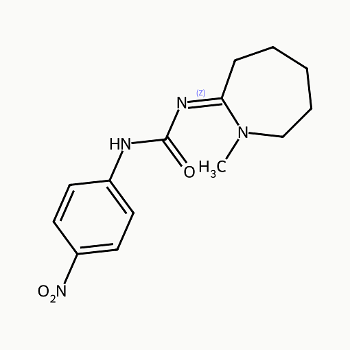 CN1CCCCC/C1=N/C(=O)Nc1ccc([N+](=O)[O-])cc1